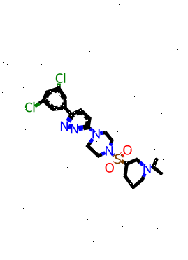 CC(C)N1CCCC(S(=O)(=O)N2CCN(c3ccc(-c4cc(Cl)cc(Cl)c4)nn3)CC2)C1